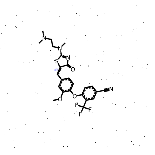 COc1cc(/C=C2/SC(N(C)CCN(C)C)=NC2=O)ccc1Oc1ccc(C#N)cc1C(F)(F)F